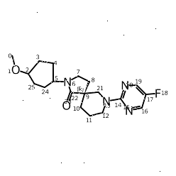 COC1CCC(N2CC[C@@]3(CCCN(c4ncc(F)cn4)C3)C2=O)CC1